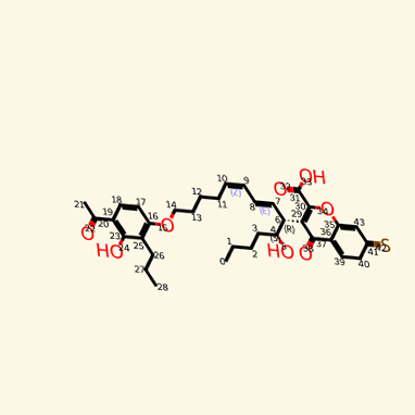 CCCC[C@H](O)[C@H](/C=C/C=C\CCCCOc1ccc(C(C)=O)c(O)c1CCC)c1c(C(=O)O)oc2c(c1=O)=CCC(=S)C=2